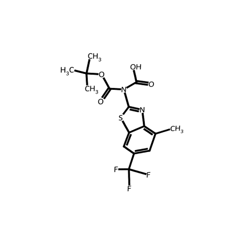 Cc1cc(C(F)(F)F)cc2sc(N(C(=O)O)C(=O)OC(C)(C)C)nc12